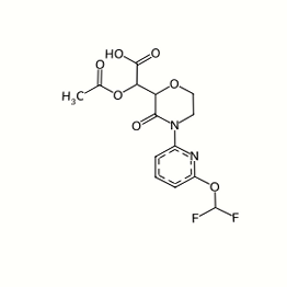 CC(=O)OC(C(=O)O)C1OCCN(c2cccc(OC(F)F)n2)C1=O